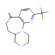 O=C1CCC2CNCCN2c2nc(C(F)(F)F)ccc21